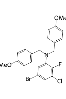 COc1ccc(CN(Cc2ccc(OC)cc2)c2cc(Br)cc(Cl)c2F)cc1